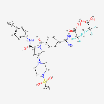 CS(=O)(=O)N1CCN([C@H]2C[C@@H](C(=O)Nc3ccc(C(=O)O)cc3)N(C(=O)[C@H]3CC[C@H](C(=N)N)CC3)C2)CC1.O=C(O)C(F)(F)F.O=C(O)C(F)(F)F